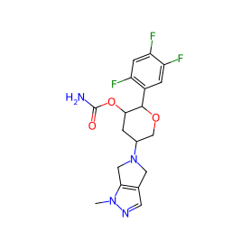 Cn1ncc2c1CN(C1COC(c3cc(F)c(F)cc3F)C(OC(N)=O)C1)C2